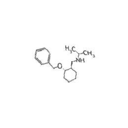 CC(C)NC[C@H]1CCCC[C@@H]1OCc1ccccc1